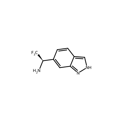 N[C@H](c1ccc2c[nH]nc2c1)C(F)(F)F